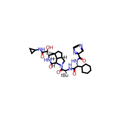 CCC12CC[C@H]3CN(C(=O)[C@@H](NC(=O)[C@@H](NC(=O)c4cnccn4)C4CCCCC4)C(C)(C)C)[C@H](C(=O)N[C@@H]1C(O)C(=O)NC1CC1)[C@H]32